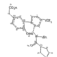 CCN(Cc1cc(C(F)(F)F)ccc1-c1cc(CC(=O)O)ccc1OC)C(=O)C1CCCC1